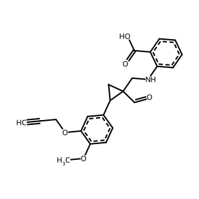 C#CCOc1cc(C2CC2(C=O)CNc2ccccc2C(=O)O)ccc1OC